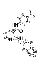 CC(C)c1ccc(NC(=O)c2cccnc2NCc2ccc3ocnc3c2)cc1